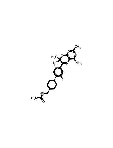 Cc1nc(N)c2c(n1)OC(C)(C)C(c1ccc([C@H]3CC[C@H](CNC(N)=O)CC3)c(Cl)c1)=N2